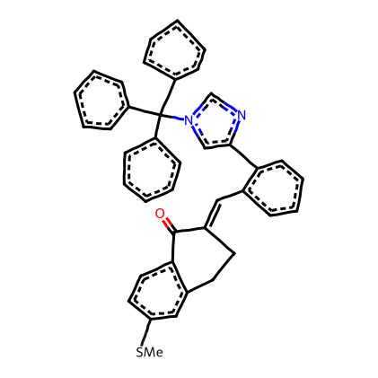 CSc1ccc2c(c1)CCC(=Cc1ccccc1-c1cn(C(c3ccccc3)(c3ccccc3)c3ccccc3)cn1)C2=O